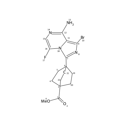 COC(=O)C12CCC(c3nc(Br)c4c(N)ncc(F)n34)(CC1)CC2